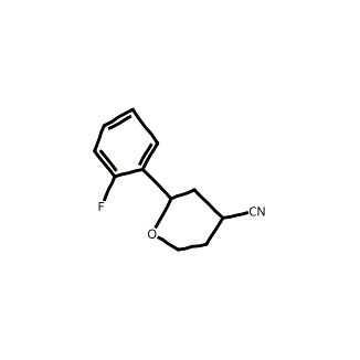 N#CC1CCOC(c2ccccc2F)C1